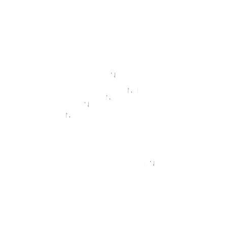 C[C@H](Nc1nccc(-n2cnc3ccc(-c4ccc(C#N)cc4)cc32)n1)c1ccccc1